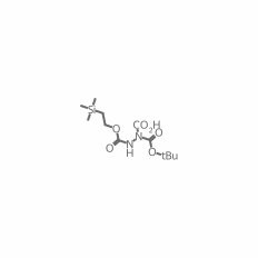 CC(C)(C)OC(=O)N(NC(=O)OCC[Si](C)(C)C)C(=O)O